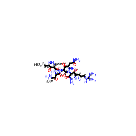 CC[C@H](C)C(N)C(=O)C(NC(=O)C(NC)C(=O)[C@@H](N)CC(=O)O)C(=O)NC(C(=O)NC(C(N)=O)C(=O)[C@@H](N)CCCNC(N)N)C(=O)[C@@H](N)CC(N)=O